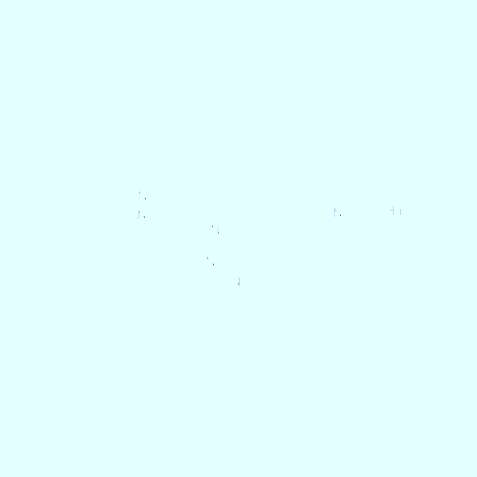 OC1CCN(CCC2CCc3c(sc4ncnc(Nc5ccc6c(cnn6Cc6ccccc6)c5)c34)C2)C1